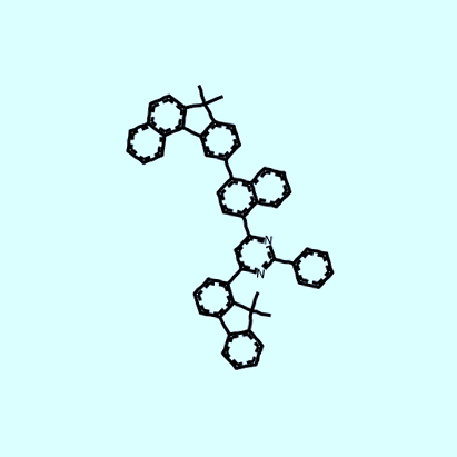 CC1(C)c2ccc(-c3ccc(-c4cc(-c5cccc6c5C(C)(C)c5ccccc5-6)nc(-c5ccccc5)n4)c4ccccc34)cc2-c2c1ccc1ccccc21